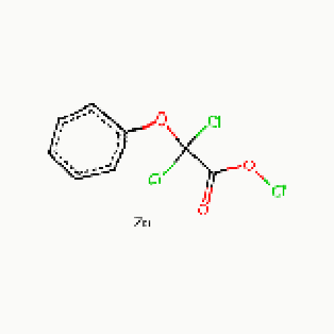 O=C(OCl)C(Cl)(Cl)Oc1ccccc1.[Zn]